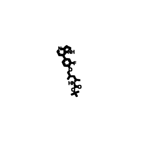 CC(COc1ccc(-c2ccnc3cc[nH]c23)cc1F)CC(C)NC(=O)OC(C)(C)C